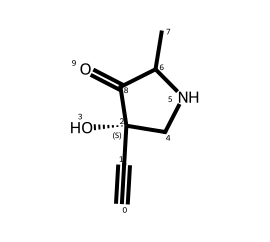 C#C[C@]1(O)CNC(C)C1=O